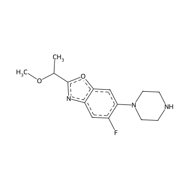 COC(C)c1nc2cc(F)c(N3CCNCC3)cc2o1